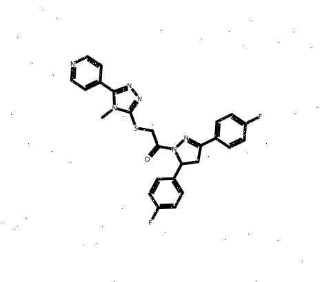 Cn1c(SCC(=O)N2N=C(c3ccc(F)cc3)CC2c2ccc(F)cc2)nnc1-c1ccncc1